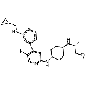 COC[C@@H](C)N[C@H]1CC[C@H](Nc2cc(-c3cncc(NCC4CC4)c3)c(F)cn2)CC1